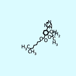 C=C(C)Oc1c(C(=O)OCCCCCC(C)C)ccc(-c2ncncn2)c1O